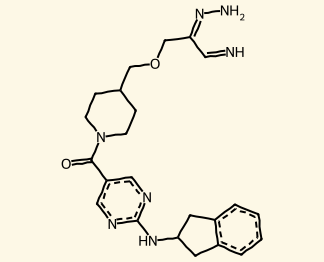 N=C/C(COCC1CCN(C(=O)c2cnc(NC3Cc4ccccc4C3)nc2)CC1)=N\N